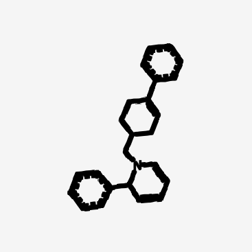 C1=CC(c2ccccc2)N(CC2CC=C(c3ccccc3)CC2)C=C1